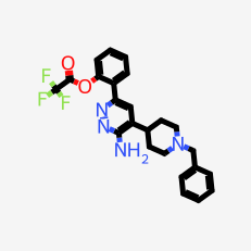 Nc1nnc(-c2ccccc2OC(=O)C(F)(F)F)cc1C1CCN(Cc2ccccc2)CC1